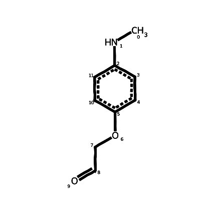 CNc1ccc(OC[C]=O)cc1